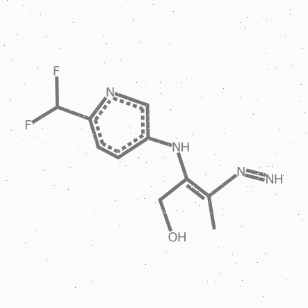 C/C(N=N)=C(\CO)Nc1ccc(C(F)F)nc1